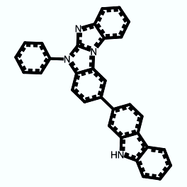 c1ccc(-n2c3ccc(-c4ccc5c(c4)[nH]c4ccccc45)cc3n3c4ccccc4nc23)cc1